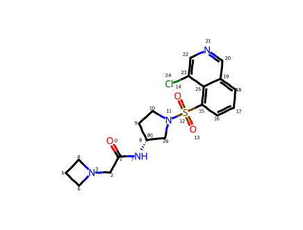 O=C(CN1CCC1)N[C@@H]1CCN(S(=O)(=O)c2cccc3cncc(Cl)c23)C1